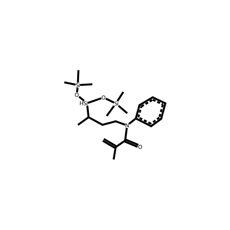 C=C(C)C(=O)N(CCC(C)[SiH](O[Si](C)(C)C)O[Si](C)(C)C)c1ccccc1